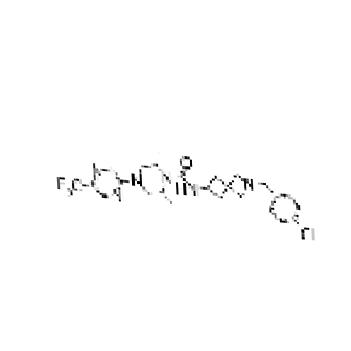 C[C@@H]1CN(c2cnc(C(F)(F)F)cn2)C[C@H](C)N1C(=O)NC1CC2(C1)CN(Cc1ccc(Cl)cc1)C2